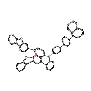 c1ccc(N(c2ccc(-c3ccc(-c4cccc5ccccc45)cc3)cc2)c2ccc(-c3ccc4c(c3)oc3ccccc34)cc2)c(-c2ccc3oc4ccccc4c3c2)c1